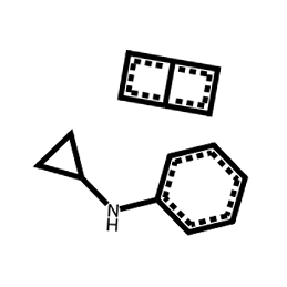 c1cc2ccc1-2.c1ccc(NC2CC2)cc1